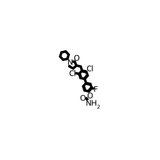 NC(=O)Oc1ccc(-c2cc(Cl)c(CC3CCN(C4CCCCC4)C3=O)c(Cl)c2)cc1F